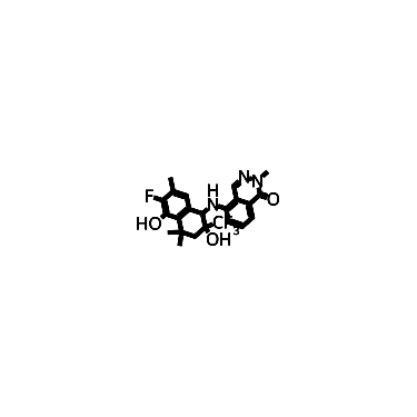 Cc1cc2c(c(O)c1F)C(C)(C)CC(O)(C(F)(F)F)C2Nc1cccc2c(=O)n(C)ncc12